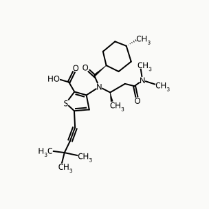 C[C@H](CC(=O)N(C)C)N(c1cc(C#CC(C)(C)C)sc1C(=O)O)C(=O)[C@H]1CC[C@H](C)CC1